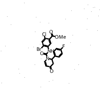 COC(=O)c1cc(NC(=O)N2C=CC(=O)CC2c2ccc(F)cc2)c(Br)cc1Cl